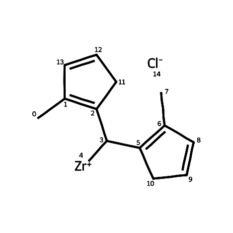 CC1=C([CH]([Zr+])C2=C(C)C=CC2)CC=C1.[Cl-]